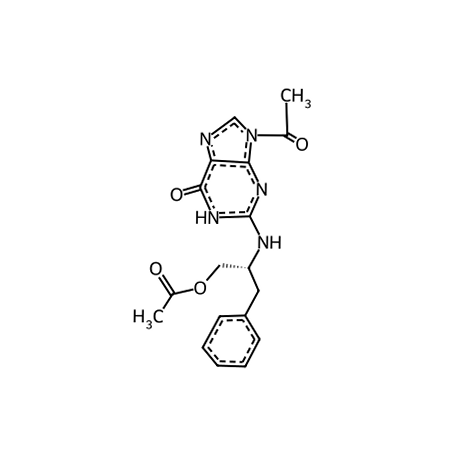 CC(=O)OC[C@@H](Cc1ccccc1)Nc1nc2c(ncn2C(C)=O)c(=O)[nH]1